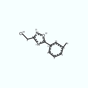 Cc1cccc(-c2nc(CCl)no2)c1